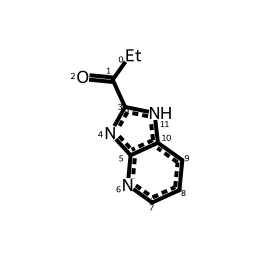 CCC(=O)c1nc2ncccc2[nH]1